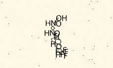 O=C(CO)N[C@H]1C[C@H](NC(=O)[C@@H]2CC[C@H]3c4ccc(C(F)(C(F)(F)F)C(F)(F)F)cc4CC[C@@H]23)C1